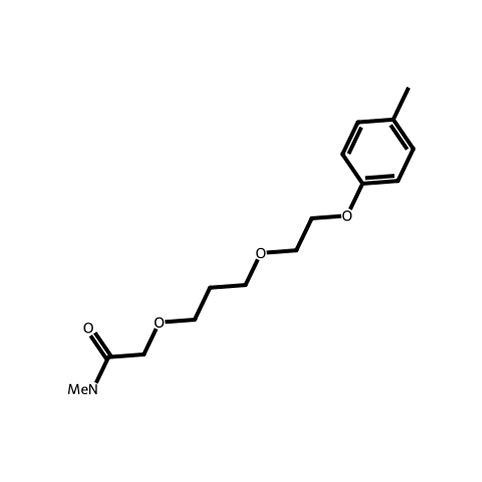 CNC(=O)COCCCOCCOc1ccc(C)cc1